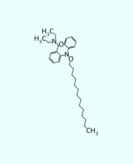 CCCCCCCCCCCCCCON(c1ccccc1)c1ccccc1C(=O)N(CC)CC